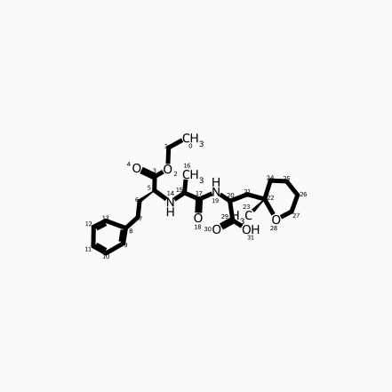 CCOC(=O)[C@H](CCc1ccccc1)NC(C)C(=O)NC(C[C@]1(C)CCCCO1)C(=O)O